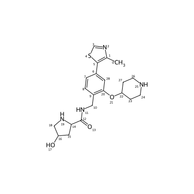 Cc1ncsc1-c1ccc(CNC(=O)C2CC(O)CN2)c(OC2CCNCC2)c1